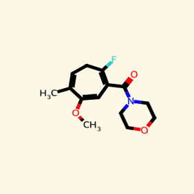 COC1=CC(C(=O)N2CCOCC2)=C(F)CC=C1C